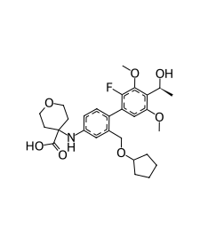 COc1cc(-c2ccc(NC3(C(=O)O)CCOCC3)cc2COC2CCCC2)c(F)c(OC)c1[C@H](C)O